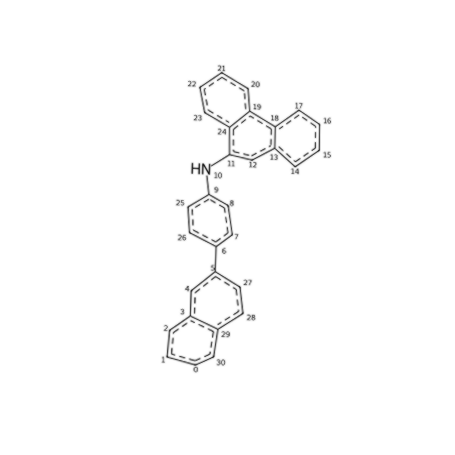 c1ccc2cc(-c3ccc(Nc4cc5ccccc5c5ccccc45)cc3)ccc2c1